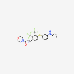 O=C(/C=C/c1ccc(Sc2cccc(NC3CCCC3)c2)c(C(F)(F)F)c1C(F)(F)F)N1CCOCC1